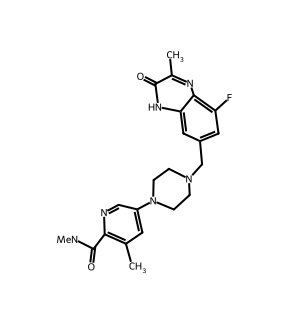 CNC(=O)c1ncc(N2CCN(Cc3cc(F)c4nc(C)c(=O)[nH]c4c3)CC2)cc1C